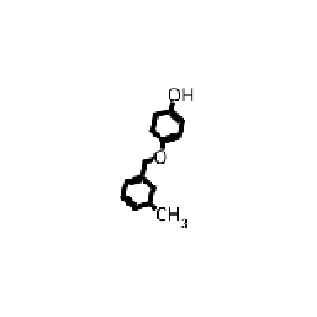 CC1C=CC=C(COC2=CC=C(O)CC2)C1